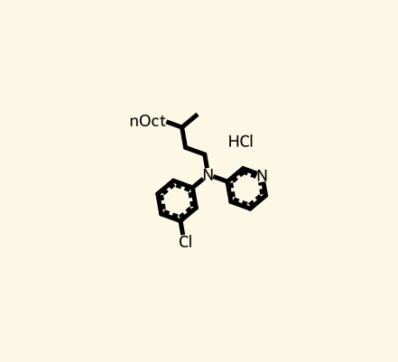 CCCCCCCCC(C)CCN(c1cccnc1)c1cccc(Cl)c1.Cl